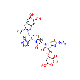 Cc1cc2cc(O)c(O)cc2c[n+]1CC1=C(c2nnn[nH]2)N2C(=O)[C@@H](NC(=O)/C(=N\O[C@@H](CC(=O)O)C(=O)O)c3csc(N)n3)[C@H]2SC1